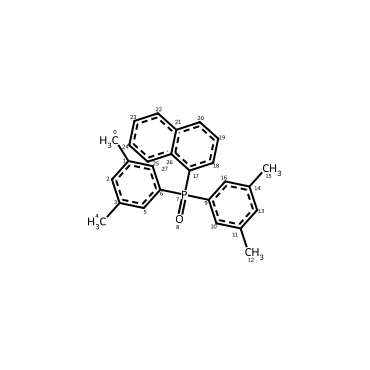 Cc1cc(C)cc(P(=O)(c2cc(C)cc(C)c2)c2cccc3ccccc23)c1